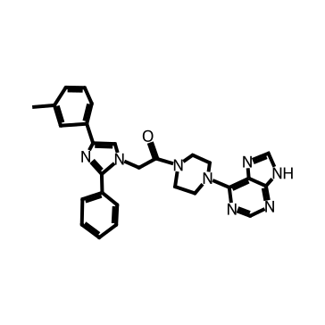 Cc1cccc(-c2cn(CC(=O)N3CCN(c4ncnc5[nH]cnc45)CC3)c(-c3ccccc3)n2)c1